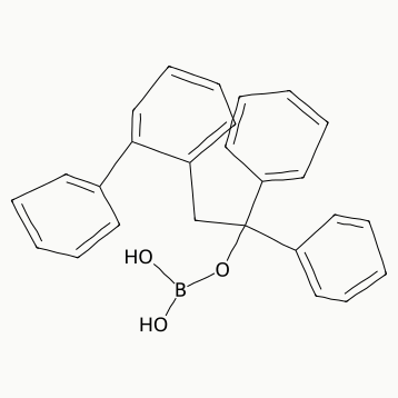 OB(O)OC(Cc1ccccc1-c1ccccc1)(c1ccccc1)c1ccccc1